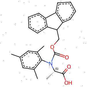 Cc1cc(C)c(N(C(=O)OCC2c3ccccc3-c3ccccc32)[C@@H](C)C(=O)O)c(C)c1